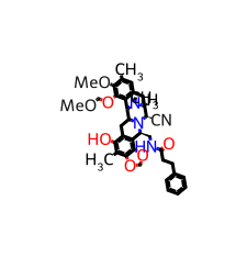 COCOc1c(OC)c(C)cc2c1C1C3Cc4c(O)c(C)c5c(c4[C@H](CNC(=O)CCc4ccccc4)N3[C@@H](C#N)[C@@H](C2)N1C)OCO5